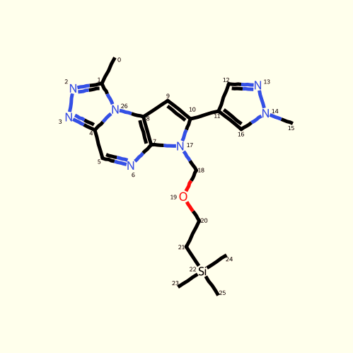 Cc1nnc2cnc3c(cc(-c4cnn(C)c4)n3COCC[Si](C)(C)C)n12